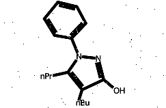 CCCCc1c(O)nn(-c2ccccc2)c1CCC